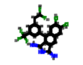 N=C1NC(=N)c2c1cc1cc(Cl)c(Cl)cc1c2-c1cc(CC(F)F)cc(C(F)(F)F)c1